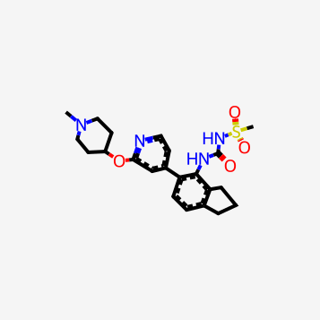 CN1CCC(Oc2cc(-c3ccc4c(c3NC(=O)NS(C)(=O)=O)CCC4)ccn2)CC1